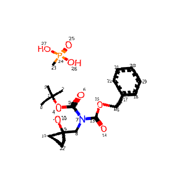 CC(C)(C)OC(=O)N(CC1([O])CC1)C(=O)OCc1ccccc1.CP(=O)(O)O